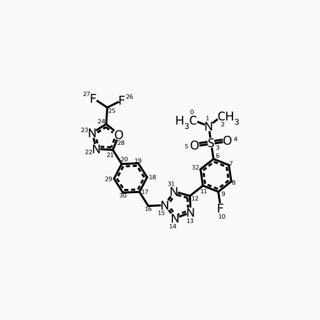 CN(C)S(=O)(=O)c1ccc(F)c(-c2nnn(Cc3ccc(-c4nnc(C(F)F)o4)cc3)n2)c1